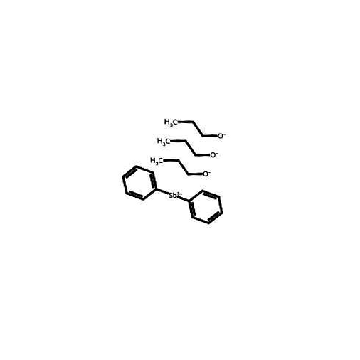 CCC[O-].CCC[O-].CCC[O-].c1cc[c]([Sb+3][c]2ccccc2)cc1